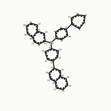 c1ccc(-c2ccc(N(c3ccc(-c4ccc5ccccc5c4)cc3)c3ccc4ccccc4c3)cc2)cc1